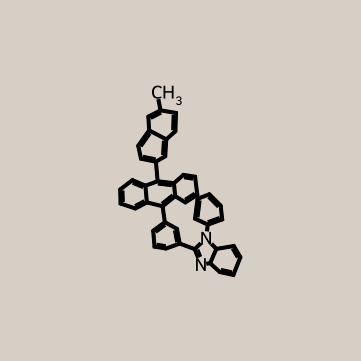 Cc1ccc2cc(-c3c4ccccc4c(-c4cccc(C5=NC6C=CC=CC6N5c5ccccc5)c4)c4ccccc34)ccc2c1